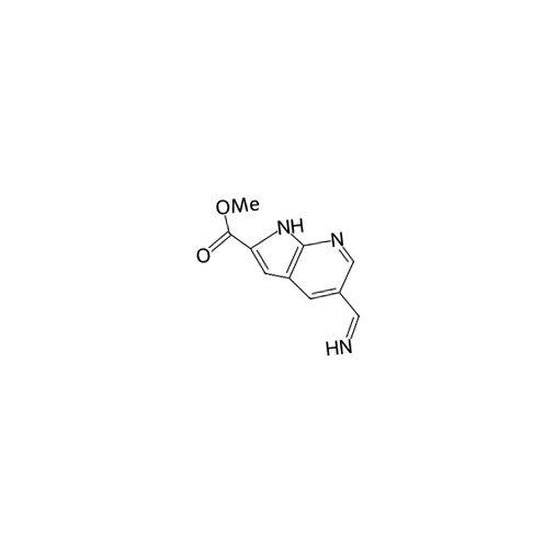 COC(=O)c1cc2cc(C=N)cnc2[nH]1